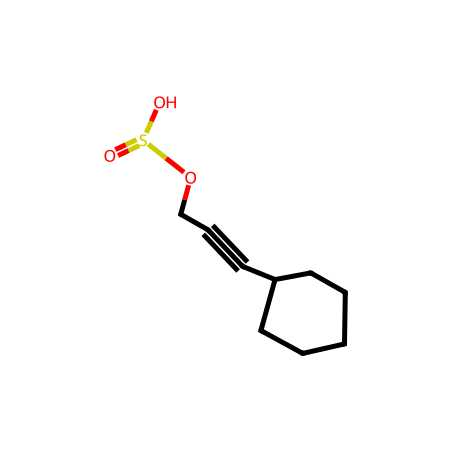 O=S(O)OCC#CC1CCCCC1